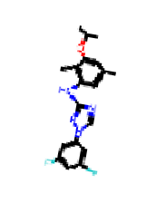 Cc1cc(Nc2ncn(-c3cc(F)cc(F)c3)n2)c(C)c(OC(C)C)c1